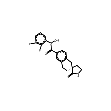 O=C(c1ccc2c(c1)CC[C@@]1(CCNC1=O)C2)N(O)c1cccc(F)c1F